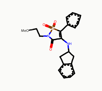 COCCN1C(=O)C(NC2Cc3ccccc3C2)=C(c2ccccc2)S1(=O)=O